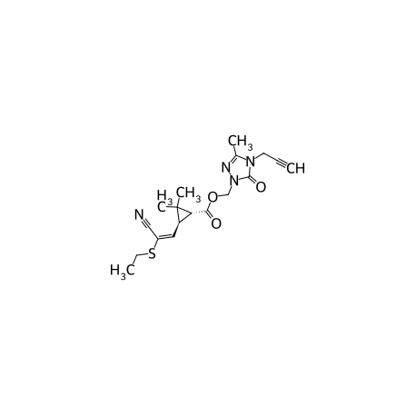 C#CCn1c(C)nn(COC(=O)[C@@H]2[C@@H](/C=C(\C#N)SCC)C2(C)C)c1=O